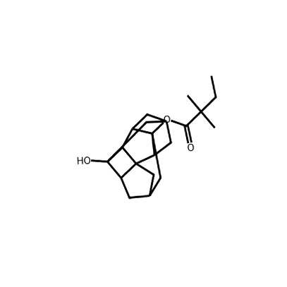 CCC(C)(C)C(=O)OC12CC3CC4C5(O)CC6CC1C5C4(C3)C2C6